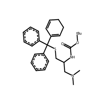 CN(C)CC(CSC(C1=CCCC=C1)(c1ccccc1)c1ccccc1)NC(=O)OC(C)(C)C